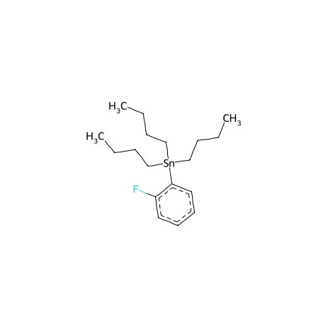 CCC[CH2][Sn]([CH2]CCC)([CH2]CCC)[c]1ccccc1F